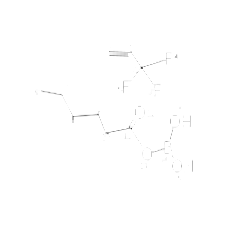 C=CC(F)(F)F.CCCCCC(=O)OB(O)O